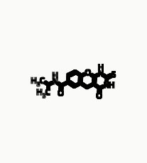 CC(C)NC(=O)c1ccc2c(c1)Cc1c([nH]c(=S)[nH]c1=O)O2